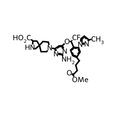 COC(=O)CCCc1ccc([C@@H](Oc2cc(N3CCC4(CC3)CNC(C(=O)O)C4)nc(N)n2)C(F)(F)F)c(-n2ccc(C)n2)c1